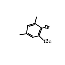 Cc1cc(C)c(Br)c(C(C)(C)C)c1